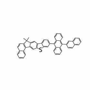 CC1(C)c2cc3c(cc2-c2c1ccc1ccccc21)sc1cc(-c2c4ccccc4c(-c4ccc5ccccc5c4)c4ccccc24)ccc13